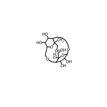 CC1(CO)OC2COCC3C(O)C(O)C(OCCCCC1C(O)C2O)OC3(C)CO